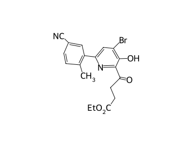 CCOC(=O)CCC(=O)c1nc(-c2cc(C#N)ccc2C)cc(Br)c1O